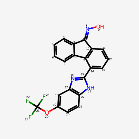 O/N=C1/c2ccccc2-c2c1cccc2-c1nc2cc(OC(F)(F)F)ccc2[nH]1